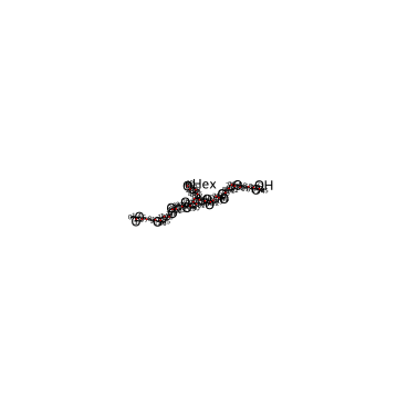 C=CC(=O)OCCCCCCOc1ccc(CCOC(=O)C2CCC(C(=O)Oc3ccc4c(c3)cc(Sc3ccc(OCCCCCC)cc3)c3cc(OC(=O)C5CCC(C(=O)OCCc6ccc(OCCCCCCOC(O)C=C)cc6)CC5)ccc34)CC2)cc1